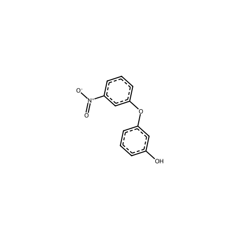 O=[N+]([O-])c1cccc(Oc2cccc(O)c2)c1